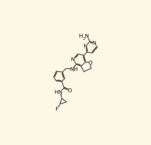 Nc1nccc(-c2cnc(NCc3cccc(C(=O)N[C@H]4C[C@H]4F)c3)c3c2OCC3)n1